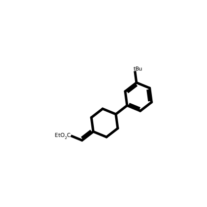 CCOC(=O)C=C1CCC(c2cccc(C(C)(C)C)c2)CC1